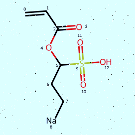 C=CC(=O)OC(C[CH2][Na])S(=O)(=O)O